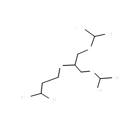 CC(C)CCOC(COC(C)C)COC(C)C